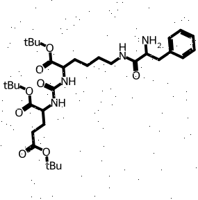 CC(C)(C)OC(=O)CCC(NC(=O)NC(CCCCNC(=O)C(N)Cc1ccccc1)C(=O)OC(C)(C)C)C(=O)OC(C)(C)C